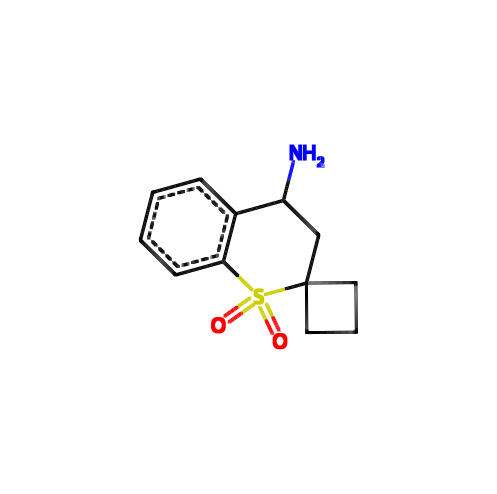 NC1CC2(CCC2)S(=O)(=O)c2ccccc21